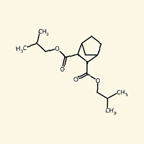 CC(C)COC(=O)C1C2CCC(C2)C1C(=O)OCC(C)C